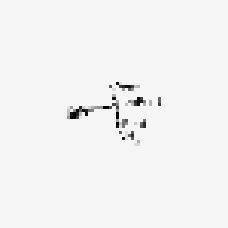 C#N.CCCCC[N+](CCCCC)(CCCCC)CCCCC.N